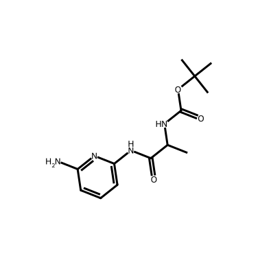 CC(NC(=O)OC(C)(C)C)C(=O)Nc1cccc(N)n1